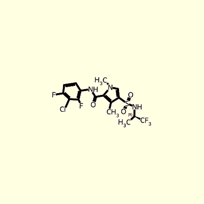 Cc1c(S(=O)(=O)N[C@H](C)C(F)(F)F)cn(C)c1C(=O)Nc1ccc(F)c(Cl)c1F